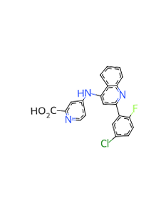 O=C(O)c1cc(Nc2cc(-c3cc(Cl)ccc3F)nc3ccccc23)ccn1